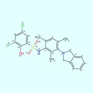 Cc1cc(C)c(N2Cc3ccccc3C2)c(C)c1NS(=O)(=O)c1cc(Cl)cc(Cl)c1O